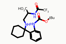 CC(C)(C)OC(=O)Nc1ccccc1C1(NCC(NC(=O)C(F)(F)F)C(=O)O)CCCCC1